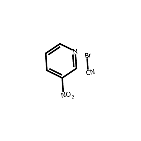 N#CBr.O=[N+]([O-])c1cccnc1